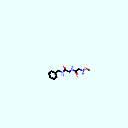 CONCC(=O)NCC(=O)NCc1ccccc1